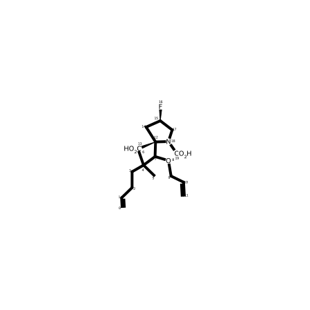 C=CCCC(C)(C)C(OCC=C)[C@]1(C(=O)O)C[C@@H](F)CN1C(=O)O